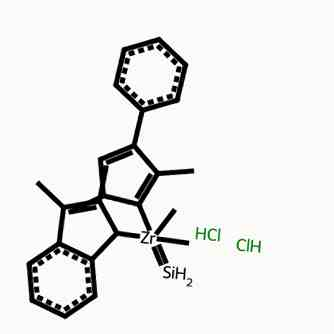 CC1=[C]([Zr]([CH3])([CH3])(=[SiH2])[CH]2C(C)=C(C)c3ccccc32)C(C)C=C1c1ccccc1.Cl.Cl